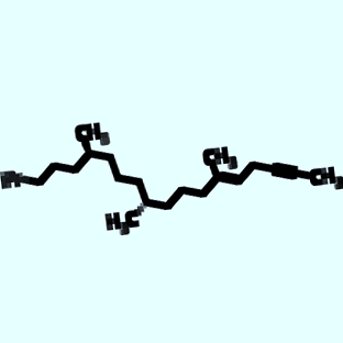 CC#CC/C=C(\C)CCC[C@H](C)CCC[C@H](C)CCCC(C)C